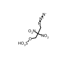 [N-]=[N+]=NCC(COS(=O)(=O)O)([N+](=O)[O-])[N+](=O)[O-]